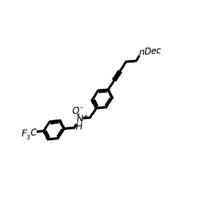 CCCCCCCCCCCCC#Cc1ccc(C[NH+]([O-])Cc2ccc(C(F)(F)F)cc2)cc1